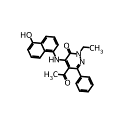 CCn1nc(-c2ccccc2)c(C(C)=O)c(Nc2cccc3c(O)cccc23)c1=O